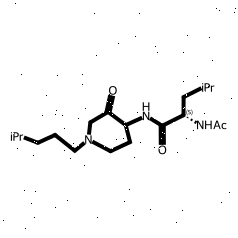 CC(=O)N[C@@H](CC(C)C)C(=O)NC1CCN(CCCC(C)C)CC1=O